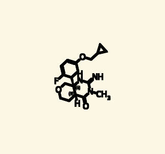 CN1C(=N)N[C@@]2(C3CC(OCC4CC4)=CC=C3F)COCC[C@H]2C1=O